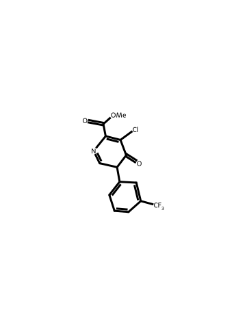 COC(=O)C1=C(Cl)C(=O)C(c2cccc(C(F)(F)F)c2)C=N1